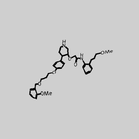 COCCCc1ccccc1NC(=O)COC1CNCCC1c1ccc(OCCCOCc2ccccc2OC)cc1